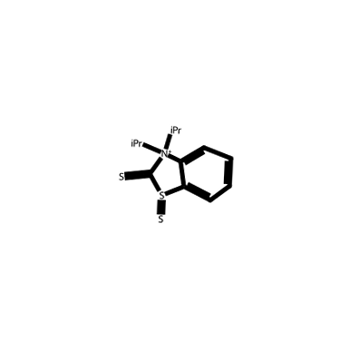 CC(C)[N+]1(C(C)C)C(=S)S(=S)c2ccccc21